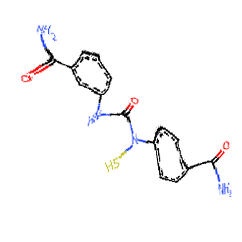 NC(=O)c1ccc(N(S)C(=O)Nc2cccc(C(N)=O)c2)cc1